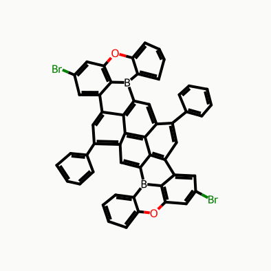 Brc1cc2c3c(c1)-c1cc(-c4ccccc4)c4cc5c6c(cc(-c7ccccc7)c7cc(c1c4c76)B3c1ccccc1O2)-c1cc(Br)cc2c1B5c1ccccc1O2